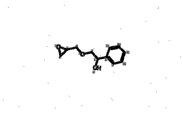 OC(COCC1CO1)c1ccccc1